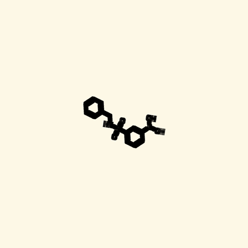 O=S(=O)(NCc1ccccc1)c1cccc(B(O)O)c1